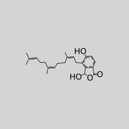 CC(C)=CCCC(C)=CCCC(C)=CCc1c(O)ccc2c1C(O)OC2=O